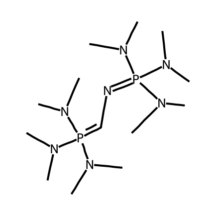 CN(C)P(=CN=P(N(C)C)(N(C)C)N(C)C)(N(C)C)N(C)C